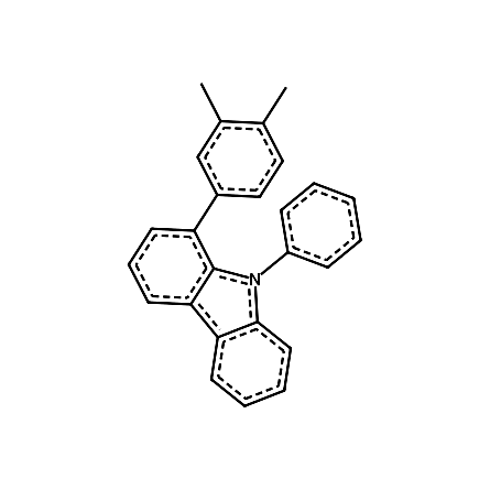 Cc1ccc(-c2cccc3c4ccccc4n(-c4ccccc4)c23)cc1C